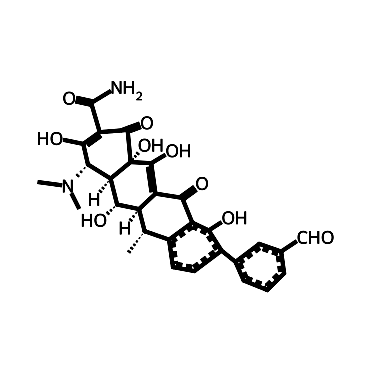 C[C@H]1c2ccc(-c3cccc(C=O)c3)c(O)c2C(=O)C2=C(O)[C@]3(O)C(=O)C(C(N)=O)=C(O)[C@@H](N(C)C)[C@@H]3[C@@H](O)[C@@H]21